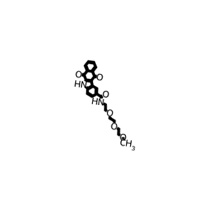 COCCOCCOCCNC(=O)c1ccc2[nH]c3c(c2c1)C(=O)c1ccccc1C3=O